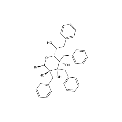 OC(Cc1ccccc1)[C@H]1O[C@H](Br)[C@@](O)(Cc2ccccc2)[C@](O)(Cc2ccccc2)[C@]1(O)Cc1ccccc1